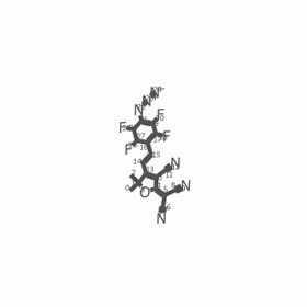 CC1(C)OC(=C(C#N)C#N)C(C#N)=C1/C=C/C1=C(F)C(F)=C(N=[N+]=[N-])C(F)C1F